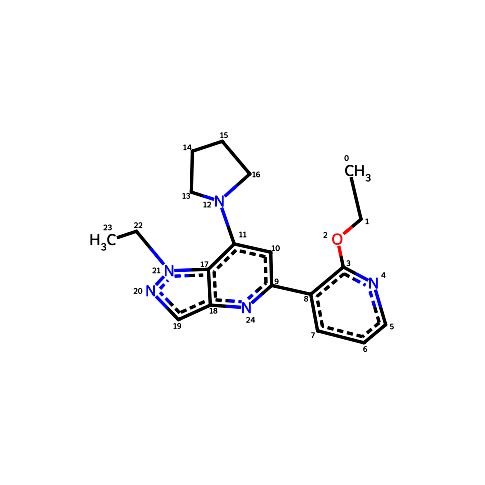 CCOc1ncccc1-c1cc(N2CCCC2)c2c(cnn2CC)n1